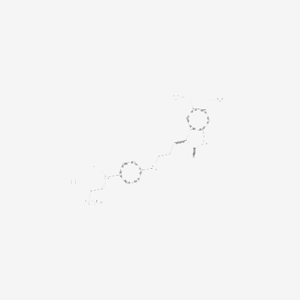 CNC(C)CN(C(C)=O)c1ccc(NCCC=C2C(=O)Nc3cc(OC)c(OC)cc32)cc1